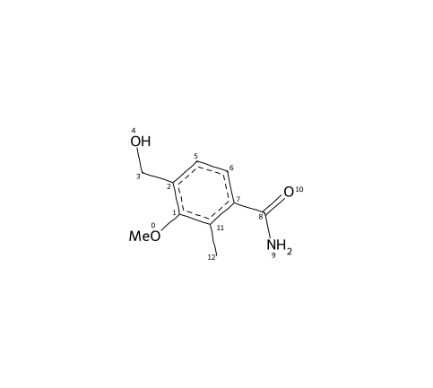 COc1c(CO)ccc(C(N)=O)c1C